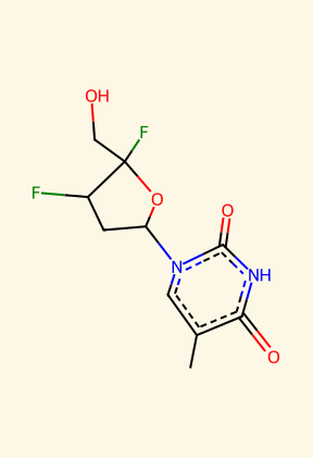 Cc1cn(C2CC(F)C(F)(CO)O2)c(=O)[nH]c1=O